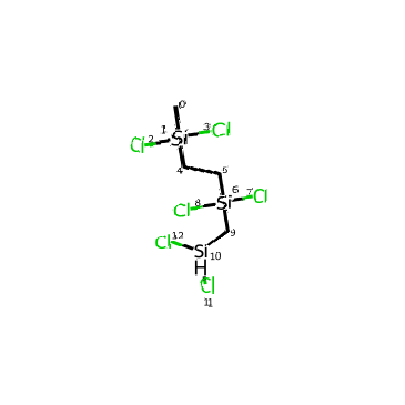 C[Si](Cl)(Cl)CC[Si](Cl)(Cl)C[SiH](Cl)Cl